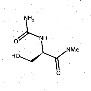 CNC(=O)[C@@H](CO)NC(N)=O